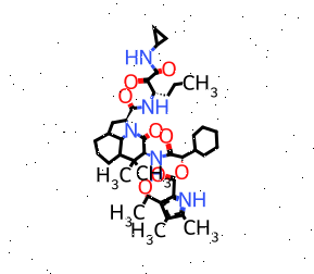 CCC[C@H](NC(=O)[C@@H]1CC2CCCC3C2N1C(=O)[C@@H](NC(=O)[C@@H](OC(=O)c1[nH]c(C)c(C)c1C(C)=O)C1CCCCC1)C3(C)C)C(=O)C(=O)NC1CC1